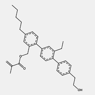 C=C(C)C(=O)OCc1cc(CCCCC)ccc1-c1ccc(-c2ccc(CCO)cc2)c(CC)c1